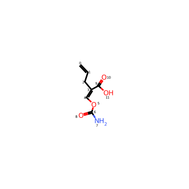 C=CCC(=COC(N)=O)C(=O)O